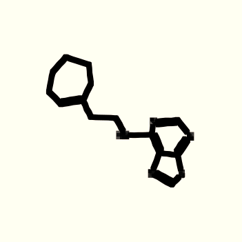 C1=C(CCNc2ncnc3scnc23)CCCCC1